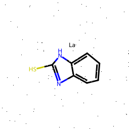 Sc1nc2ccccc2[nH]1.[La]